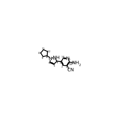 N#Cc1cc(C2C=CN(C3CCCC3)N2)cnc1N